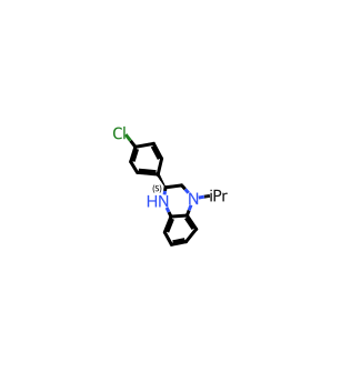 CC(C)N1C[C@H](c2ccc(Cl)cc2)Nc2ccccc21